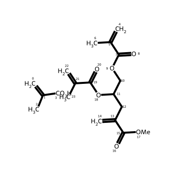 C=C(C)C(=O)O.C=C(C)C(=O)OCC(CC(=C)C(=O)OC)OC(=O)C(=C)C